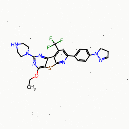 CCOc1nc(N2CCNCC2)nc2c1sc1nc(-c3ccc(N4CCC=N4)cc3)cc(C(F)(F)F)c12